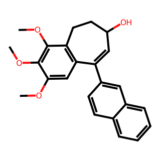 COc1cc2c(c(OC)c1OC)CCC(O)C=C2c1ccc2ccccc2c1